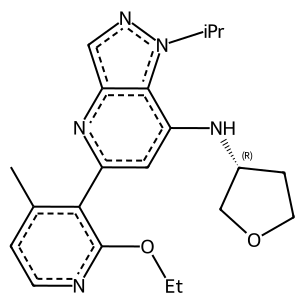 CCOc1nccc(C)c1-c1cc(N[C@@H]2CCOC2)c2c(cnn2C(C)C)n1